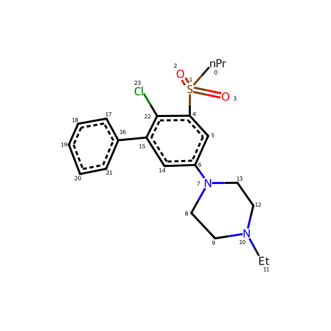 CCCS(=O)(=O)c1cc(N2CCN(CC)CC2)cc(-c2ccccc2)c1Cl